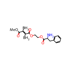 B/C(C(=O)OC)=C(/B)C(=O)OCCOC(=O)[C@@H](N)Cc1ccccc1